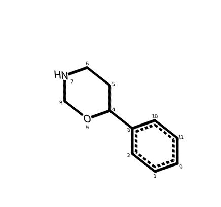 c1ccc(C2CCNCO2)cc1